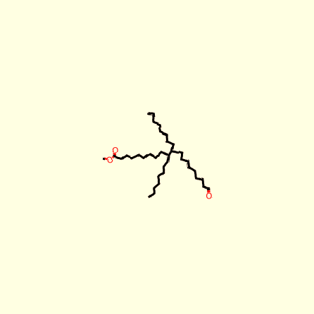 CCCCCCCCC(CCCCCCCCC=O)C(CCCCCCCC)CCCCCCCCC(=O)OC